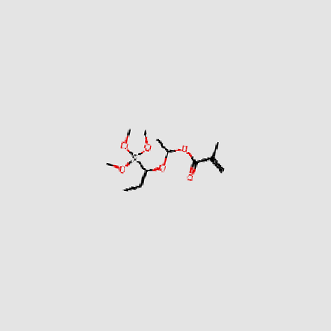 C=C(C)C(=O)OC(C)OC(CC)[Si](OC)(OC)OC